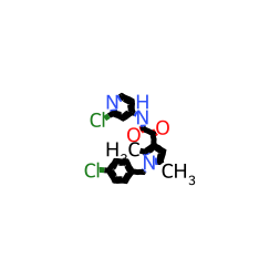 Cc1cc(C(=O)C(=O)Nc2ccnc(Cl)c2)c(C)n1Cc1ccc(Cl)cc1